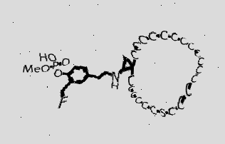 COP(=O)(O)Oc1ccc(CCNC2CC23CCCCCCCCCCCCCCCSCCCCCC3)cc1CF